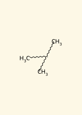 CCCCCCCCCC[C](CCCCCCCCC)CCCCCCCCCC